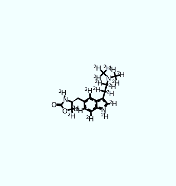 [2H]c1c(C[C@@H]2N([2H])C(=O)OC2([2H])[2H])c([2H])c2c(C([2H])([2H])C([2H])([2H])N(C([2H])([2H])[2H])C([2H])([2H])[2H])c([2H])n([2H])c2c1[2H]